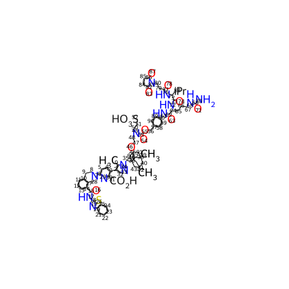 Cc1c(-c2ccc(N3CCc4cccc(C(=O)Nc5nc6ccccc6s5)c4C3)nc2C(=O)O)cnn1CC12CC3(C)CC(C)(C1)CC(OCCN(CCS(=O)(=O)O)C(=O)OCc1ccc(NC(=O)[C@H](CCCNC(N)=O)NC(=O)[C@@H](NC(=O)CCN4C(=O)C=CC4=O)C(C)C)cc1)(C3)C2